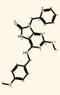 COc1ccc(CNc2nc(SC)nc3c2[nH]c(=O)n3Cc2ccccn2)cc1